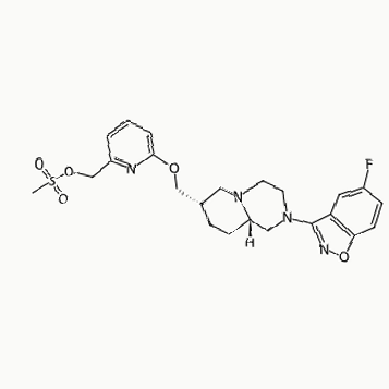 CS(=O)(=O)OCc1cccc(OC[C@H]2CC[C@H]3CN(c4noc5ccc(F)cc45)CCN3C2)n1